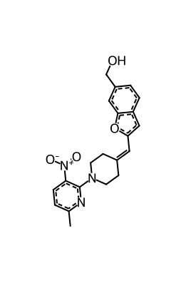 Cc1ccc([N+](=O)[O-])c(N2CCC(=Cc3cc4ccc(CO)cc4o3)CC2)n1